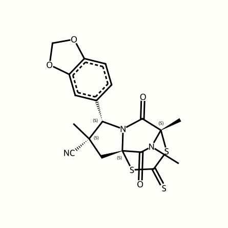 CN1C(=O)[C@@]23C[C@](C)(C#N)[C@H](c4ccc5c(c4)OCO5)N2C(=O)[C@]1(C)SC(=S)S3